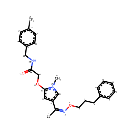 CCC(=NOCCCc1ccccc1)c1cc(OCC(=O)NCc2ccc(C(F)(F)F)cc2)n(C)c1